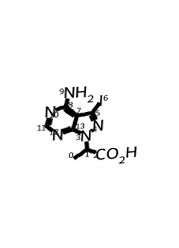 CC(C(=O)O)n1nc(I)c2c(N)ncnc21